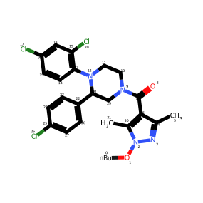 CCCCOn1nc(C)c(C(=O)N2CCN(c3ccc(Cl)cc3Cl)C(c3ccc(Cl)cc3)C2)c1C